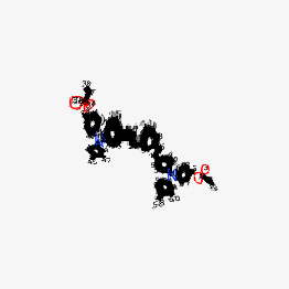 C=CC(=O)OCc1ccc(N(c2ccc(C=Cc3cccc(C=Cc4ccc(N(c5ccc(COC(=O)C=C)cc5)c5ccc(C)c(C)c5)cc4)c3)cc2)c2ccc(C)c(C)c2)cc1